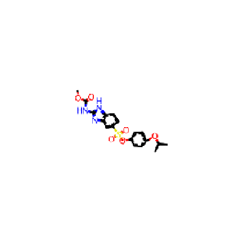 COC(=O)Nc1nc2cc(S(=O)(=O)Oc3ccc(OC(C)C)cc3)ccc2[nH]1